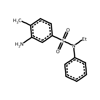 CCN(c1ccccc1)S(=O)(=O)c1ccc(C)c(N)c1